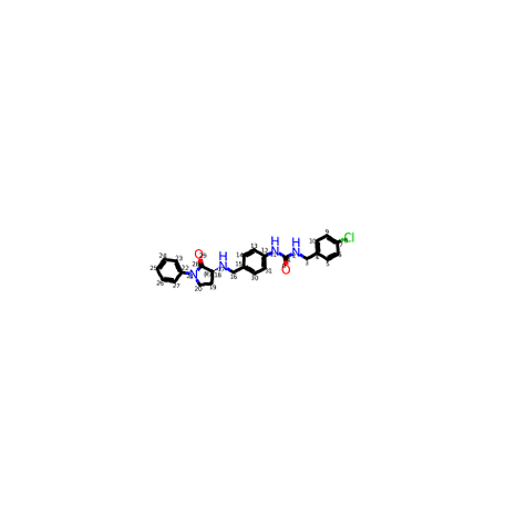 O=C(NCc1ccc(Cl)cc1)Nc1ccc(CN[C@@H]2CCN(c3ccccc3)C2=O)cc1